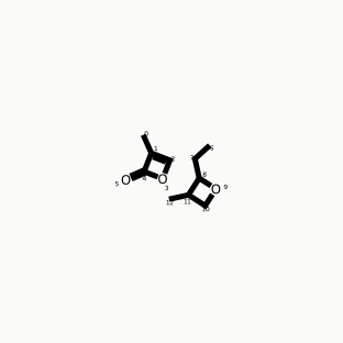 CC1=COC1=O.CCC1OCC1C